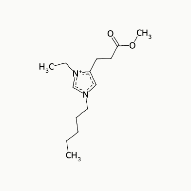 CCCCCn1cc(CCC(=O)OC)[n+](CC)c1